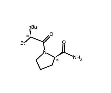 CCCC[C@@H](CC)C(=O)N1CCC[C@@H]1C(N)=O